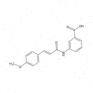 COc1ccc(/C=C/C(=O)Nc2cccc(C(=O)O)c2)cc1